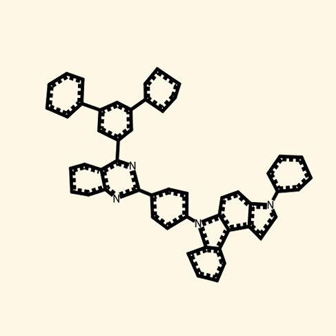 c1ccc(-c2cc(-c3ccccc3)cc(-c3nc(-c4ccc(-n5c6ccccc6c6c7ccn(-c8ccccc8)c7ccc65)cc4)nc4ccccc34)c2)cc1